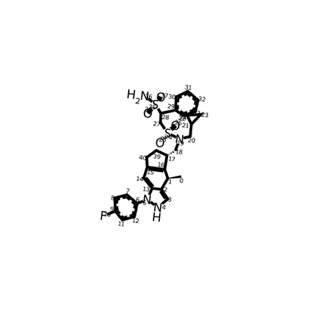 C[C@H]1C2=CNN(c3ccc(F)cc3)C2=CC2=C1[C@@H](CN(CC1CC1)S(=O)(=O)CC(c1ccccc1)S(N)(=O)=O)CC2